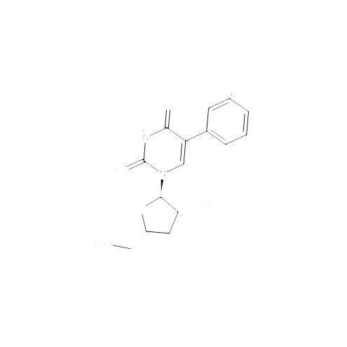 CC(=O)OC[C@H]1C[C@@H](OC(C)=O)[C@H](n2cc(-c3ccccc3)c(=O)[nH]c2=O)O1